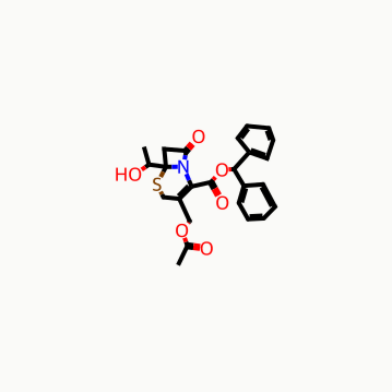 CC(=O)OCC1=C(C(=O)OC(c2ccccc2)c2ccccc2)N2C(=O)CC2(C(C)O)SC1